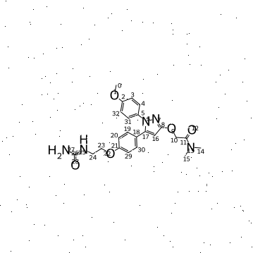 COc1ccc(-n2nc(OCC(=O)N(C)C)cc2-c2ccc(OCCNC(N)=O)cc2)cc1